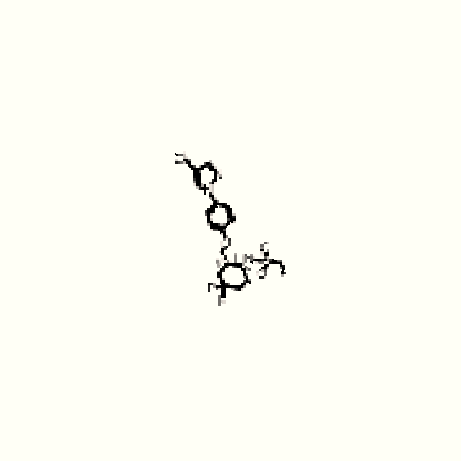 CCS(=O)(=O)N[C@H]1CCC(F)(F)C[C@H]1COc1ccc(-n2cc(Cl)cn2)cc1